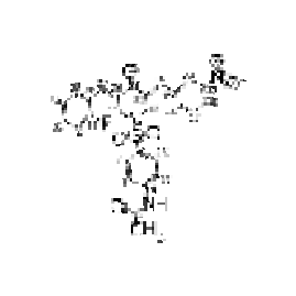 CC(=O)Nc1ccc(S(=O)(=O)N2CC(=Cc3cccc([N+](=O)[O-])c3)C(=O)C(=Cc3ccccc3F)C2)cc1